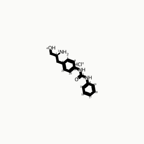 Cl.N[C@H](CO)Cc1ccc(NC(=O)Nc2ccccc2)cc1